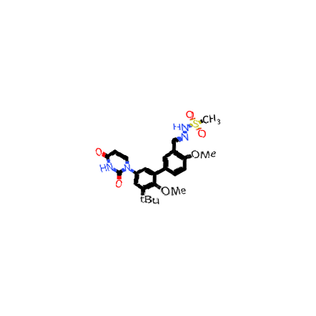 COc1ccc(-c2cc(-n3ccc(=O)[nH]c3=O)cc(C(C)(C)C)c2OC)cc1/C=N/NS(C)(=O)=O